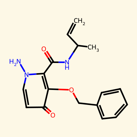 C=CC(C)NC(=O)c1c(OCc2ccccc2)c(=O)ccn1N